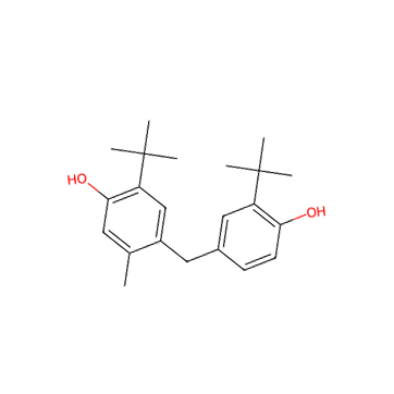 Cc1cc(O)c(C(C)(C)C)cc1Cc1ccc(O)c(C(C)(C)C)c1